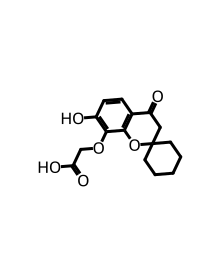 O=C(O)COc1c(O)ccc2c1OC1(CCCCC1)CC2=O